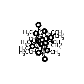 Cc1cc2c3c(c1)N(c1ccccc1)c1ccccc1B3c1cc3c(-c4c(C(C)(C)C)cc(C(C)(C)C)cc4C(C)(C)C)cc4c5c(cc6c(-c7c(C(C)(C)C)cc(C(C)(C)C)cc7C(C)(C)C)cc-2c1c6c35)B1c2ccccc2N(c2ccccc2)c2cc(C)cc-4c21